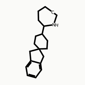 c1ccc2c(c1)CC1(CCC(C3CCCCCN3)CC1)C2